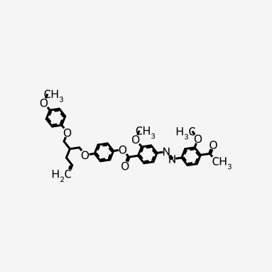 C=CCC(COc1ccc(OC)cc1)COc1ccc(OC(=O)c2ccc(N=Nc3ccc(C(C)=O)c(OC)c3)cc2OC)cc1